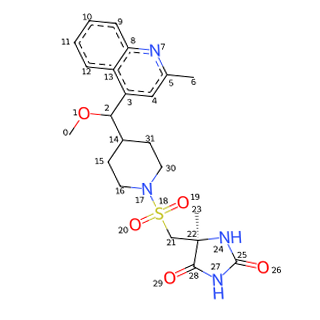 COC(c1cc(C)nc2ccccc12)C1CCN(S(=O)(=O)C[C@@]2(C)NC(=O)NC2=O)CC1